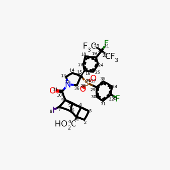 O=C(O)C12CC3C1C1C2C(I)C31C(=O)N1CC[C@](c2ccc(C(F)(C(F)(F)F)C(F)(F)F)cc2)(S(=O)(=O)c2ccc(F)cc2)C1